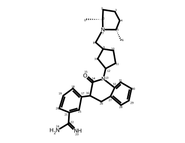 C[C@@H]1CCC[C@H](C)N1CC1CCC(N2C(=O)C(c3cccc(C(=N)N)c3)Cc3ccccc32)C1